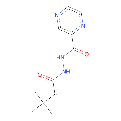 CC(C)(C)[CH]C(=O)NNC(=O)c1cnccn1